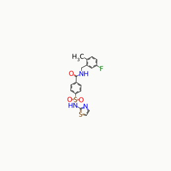 Cc1ccc(F)cc1CNC(=O)c1ccc(S(=O)(=O)Nc2nccs2)cc1